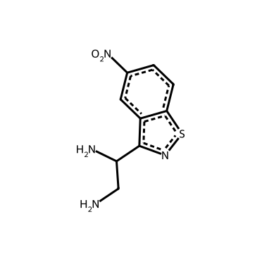 NCC(N)c1nsc2ccc([N+](=O)[O-])cc12